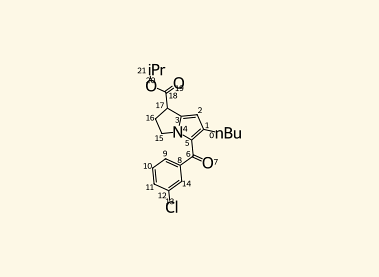 CCCCc1cc2n(c1C(=O)c1cccc(Cl)c1)CCC2C(=O)OC(C)C